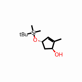 CC1=C[C@@H](O[Si](C)(C)C(C)(C)C)C[C@@H]1O